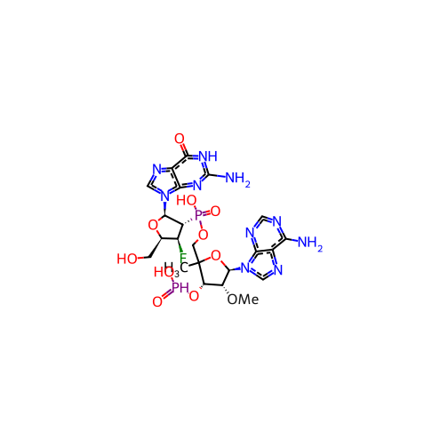 CO[C@H]1[C@H](n2cnc3c(N)ncnc32)OC(C)(COP(=O)(O)[C@@H]2[C@@H](F)[C@@H](CO)O[C@H]2n2cnc3c(=O)[nH]c(N)nc32)[C@H]1O[PH](=O)O